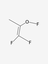 CC(OF)=C(F)F